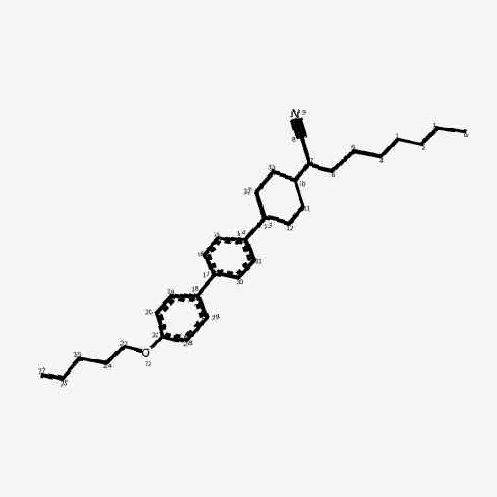 CCCCCCCC(C#N)C1CCC(c2ccc(-c3ccc(OCCCCC)cc3)cc2)CC1